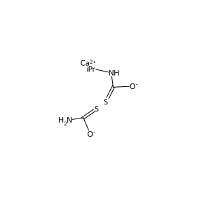 CC(C)NC([O-])=S.NC([O-])=S.[Ca+2]